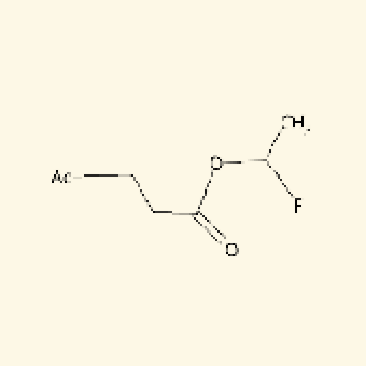 CC(=O)CCC(=O)OC(C)F